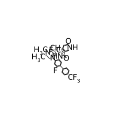 C[C@@H]1CN(c2cc(F)c(-c3ccc(C(F)(F)F)cc3)cc2NC(=O)c2c[nH]c(=O)cc2C(F)(F)F)C[C@H](C)N1C